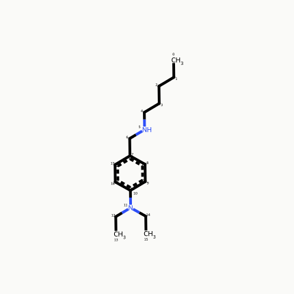 CCCCCNCc1ccc(N(CC)CC)cc1